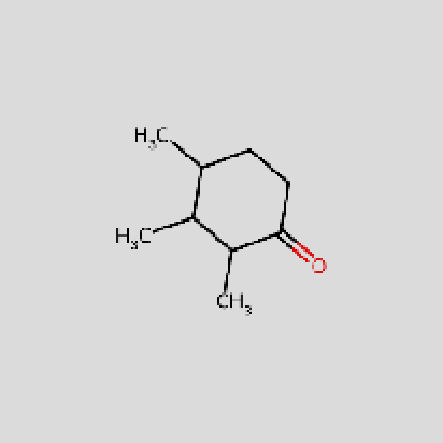 CC1CCC(=O)C(C)C1C